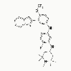 CN1C(C)(C)CC(Nc2nc(Nc3ccc(OC(F)(F)F)c(-c4cc5ccccc5s4)c3)ncc2F)CC1(C)C